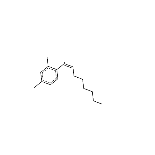 CCCCCC/C=[C]\c1ccc(C)cc1C